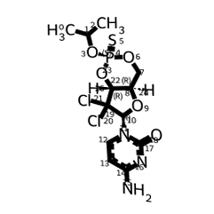 CC(C)O[P@@]1(=S)OC[C@H]2O[C@@H](n3ccc(N)nc3=O)C(Cl)(Cl)[C@@H]2O1